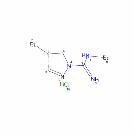 CCNC(=N)N1CC(CC)C=N1.Cl